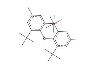 Cc1cc(C(C)(C)C)c(Oc2c(C(C)(C)C)cc(C)cc2C(C)(C)C)c(C(C)(C)C)c1